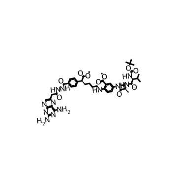 COC(=O)c1cc(NC(=O)[C@H](C)NC(=O)[C@@H](NC(=O)OC(C)(C)C)C(C)C)ccc1NCCCC[C@H](C(=O)OC)c1ccc(C(=O)NNC(=O)Cc2cnc3nc(N)nc(N)c3n2)cc1